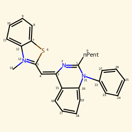 CCCCCC1=N/C(=C\c2sc3ccccc3[n+]2C)c2ccccc2N1c1ccccc1